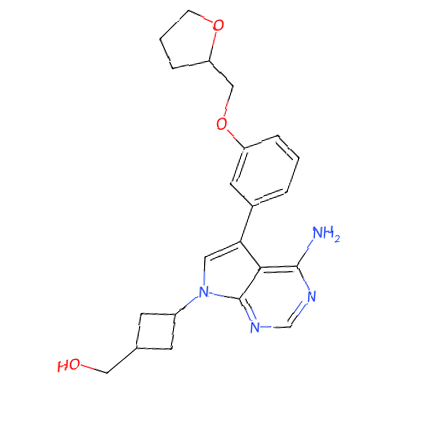 Nc1ncnc2c1c(-c1cccc(OCC3CCCO3)c1)cn2C1CC(CO)C1